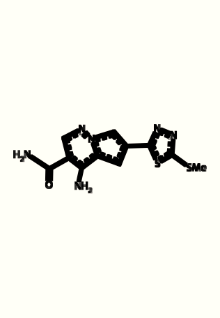 CSc1nnc(-c2cc3c(N)c(C(N)=O)cnn3c2)s1